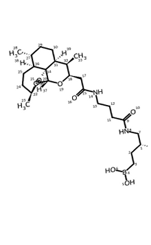 C[C@H](CCB(O)O)CNC(=O)CCCNC(=O)C[C@H]1O[C@@H]2O[C@@]3(C)CC[C@H]4[C@H](C)CC[C@@H]([C@H]1C)[C@@]24OO3